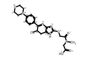 CN(CC(=O)O)C(=O)COc1nc2c([nH]1)CC(Cl)C(c1ccc(N3CCOCC3)cc1)=N2